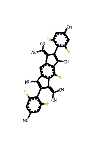 N#CC(C#N)=C1C(c2c(F)cc(C#N)cc2F)=C(C#N)c2c1cc1c(c2F)C(=C(C#N)C#N)C(c2c(F)cc(C#N)cc2F)=C1C#N